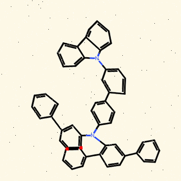 c1ccc(-c2cccc(N(c3ccc(-c4cccc(-n5c6ccccc6c6ccccc65)c4)cc3)c3cc(-c4ccccc4)ccc3-c3ccccc3)c2)cc1